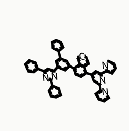 c1ccc(-c2cc(-c3cc(-c4ccccc4)nc(-c4ccccc4)n3)cc(-c3ccc(-c4cc(-c5ccccn5)nc(-c5ccccn5)c4)c4ccccc34)c2)cc1